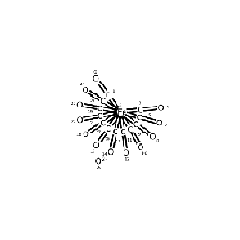 O=[C]=[Fe](=[C]=O)(=[C]=O)(=[C]=O)(=[C]=O)(=[C]=O)(=[C]=O)(=[C]=O)(=[C]=O)(=[C]=O)(=[C]=O)=[C]=O.[O-2]